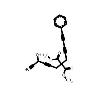 C#CC(O)C#CCC(CC#CC#Cc1ccccc1)(C(=O)OC)C(=O)OC